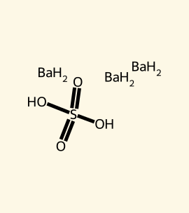 O=S(=O)(O)O.[BaH2].[BaH2].[BaH2]